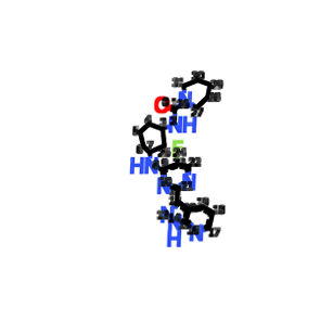 O=C(N[C@@H]1CCCC(Nc2nc(-c3n[nH]c4ncccc34)ncc2F)C1)N1CCCCC1